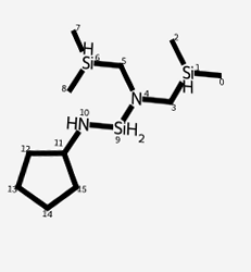 C[SiH](C)CN(C[SiH](C)C)[SiH2]NC1CCCC1